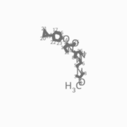 COC1CN(CCn2cc(N3CC=C(Oc4ccc(C5CC5)cc4)C3=O)cn2)C1